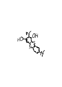 C/N=c1/c(O)cc2nc3ccc(N(C)C)cc3sc-2c1O